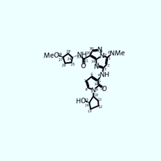 CNc1cc(Nc2cccn(C3CCC[C@H]3O)c2=O)nc2c(C(=O)N[C@@H]3CC[C@@H](OC)C3)cnn12